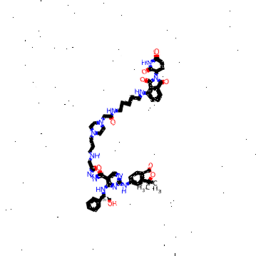 CC1(C)OC(=O)c2ccc(Nc3ncc(-c4nnc(CNCCCN5CCN(CC(=O)NCCCCCNc6cccc7c6C(=O)N(C6CCC(=O)NC6=O)C7=O)CC5)o4)c(N[C@H](CO)c4ccccc4)n3)cc21